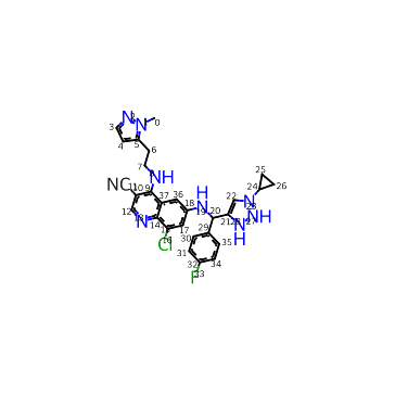 Cn1nccc1CCNc1c(C#N)cnc2c(Cl)cc(NC(C3=CN(C4CC4)NN3)c3ccc(F)cc3)cc12